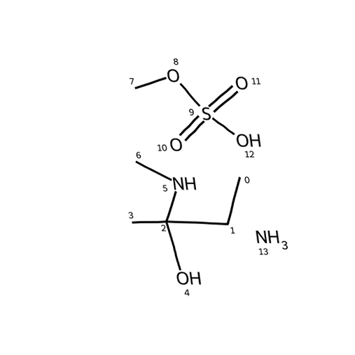 CCC(C)(O)NC.COS(=O)(=O)O.N